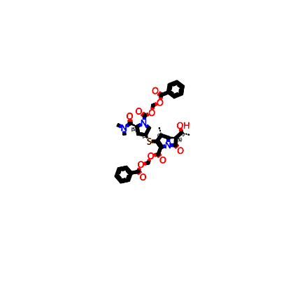 C[C@H]1C(S[C@H]2C[C@@H](C(=O)N(C)C)N(C(=O)OCOC(=O)c3ccccc3)C2)=C(C(=O)OCOC(=O)c2ccccc2)N2C(=O)[C@H]([C@@H](C)O)C12